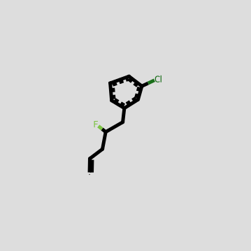 [CH]=CCC(F)Cc1cccc(Cl)c1